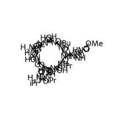 CC[C@H](C)[C@@H]1NC(=O)[C@@H](CCCNC(=N)NC(=O)Nc2cccc(OC)c2)NC(=O)[C@H](CC(C)C)NC(=O)[C@H]([C@H](O)C(C)C)NC(=O)[C@@H](NC(=O)[C@H](CC(C)C)NC(=O)[C@H](N)CC(C)C)[C@@H](c2ccccc2)OC(=O)[C@H](CO)NC(=O)[C@H]([C@H](O)C(N)=O)NC(=O)CNC(=O)[C@H]([C@H](C)O)NC1=O